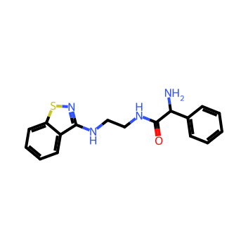 NC(C(=O)NCCNc1nsc2ccccc12)c1ccccc1